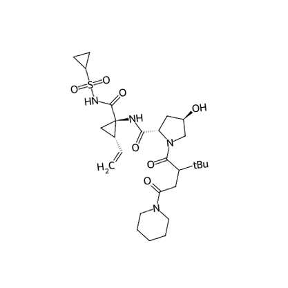 C=C[C@@H]1C[C@]1(NC(=O)[C@@H]1C[C@@H](O)CN1C(=O)C(CC(=O)N1CCCCC1)C(C)(C)C)C(=O)NS(=O)(=O)C1CC1